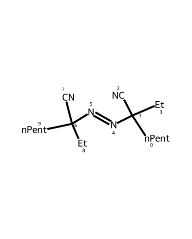 CCCCCC(C#N)(CC)N=NC(C#N)(CC)CCCCC